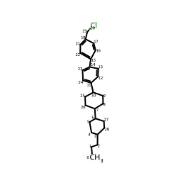 CCCC1CCC(C2CCC(c3ccc(-c4ccc(CCl)cc4)cc3)CC2)CC1